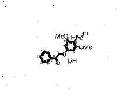 CCOPc1c(OC)cc(OCC(=O)c2ccccc2)cc1OC.[LiH]